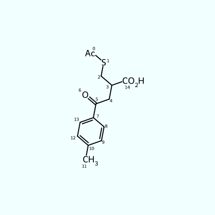 CC(=O)SCC(CC(=O)c1ccc(C)cc1)C(=O)O